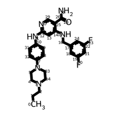 CCCN1CCN(c2ccc(Nc3cc(NCc4cc(F)cc(F)c4)c(C(N)=O)cn3)cc2)CC1